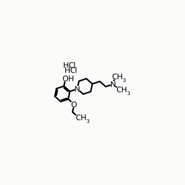 CCOc1cccc(O)c1N1CCC(CCN(C)C)CC1.Cl.Cl